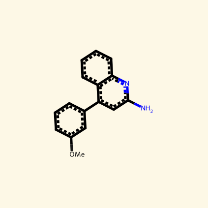 COc1cccc(-c2cc(N)nc3ccccc23)c1